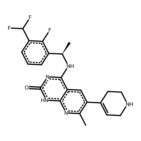 Cc1nc2[nH]c(=O)nc(N[C@H](C)c3cccc(C(F)F)c3F)c2cc1C1=CCNCC1